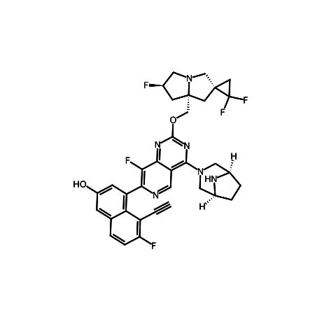 C#Cc1c(F)ccc2cc(O)cc(-c3ncc4c(N5C[C@H]6CC[C@@H](C5)N6)nc(OC[C@]56C[C@@H](F)CN5C[C@@]5(CC5(F)F)C6)nc4c3F)c12